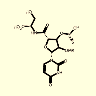 COC1C(O[PH](O)=S)[C@@H](C(=O)N[C@H](CO)C(=O)O)O[C@H]1n1ccc(=O)[nH]c1=O